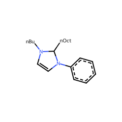 CCCCCCCCC1N(CCCC)C=CN1c1ccccc1